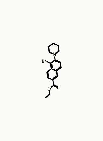 CCOC(=O)c1ccc2c(Br)c(N3CCCCC3)ccc2c1